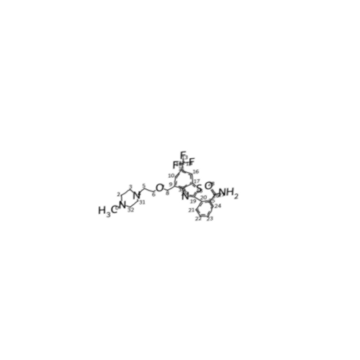 CN1CCN(CCOCc2cc(C(F)(F)F)cc3sc(-c4ccccc4C(N)=O)nc23)CC1